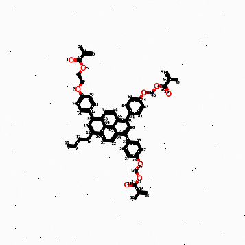 C=C(C)C(=O)OCCOc1ccc(-c2cc(CCCC)c3ccc4c(-c5ccc(OCOC(=O)C(=C)C)cc5)cc(-c5ccc(OCOC(=O)C(=C)C)cc5)c5ccc2c3c45)cc1